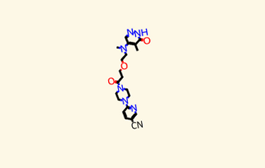 Cc1c(N(C)CCOCCC(=O)N2CCN(c3ccc(C#N)cn3)CC2)cn[nH]c1=O